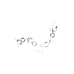 CC[C@]1(c2ccc(NC(=O)CN3[C@H](C)CN(CCO[C@H]4CC[C@H](N5C(=S)N(c6ccc(C#N)c(C(F)(F)F)c6)C(=O)C5(C)C)CC4)C[C@@H]3C)cc2)CCC(=O)NC1=O.Cl